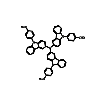 COc1ccc(-n2c3ccccc3c3cc(N(c4ccc5c(c4)c4ccccc4n5-c4ccc(C=O)cc4)c4ccc5c(c4)c4ccccc4n5-c4ccc(OC)cc4)ccc32)cc1